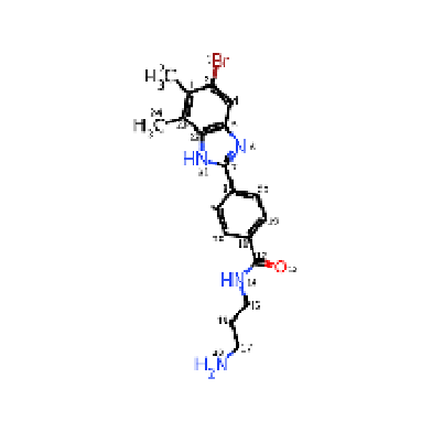 Cc1c(Br)cc2nc(-c3ccc(C(=O)NCCCN)cc3)[nH]c2c1C